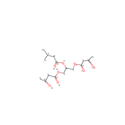 CC(=O)CC(=O)OCC(COC(=O)CC(C)=O)OC(=O)CC(C)C